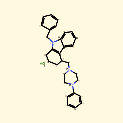 Cl.c1ccc(Cn2c3c(c4ccccc42)C(CN2CCN(c4ccccc4)CC2)CCC3)cc1